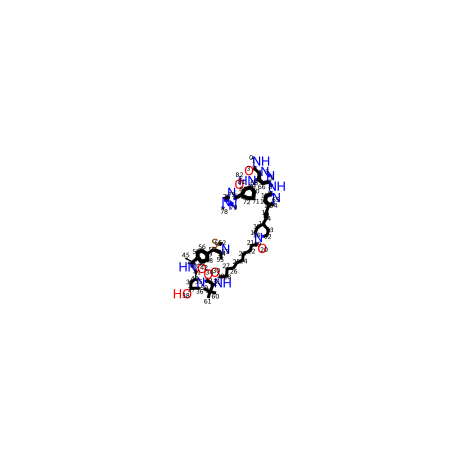 CNC(=O)c1nnc(Nc2ccc(C#CC3CCN(C(=O)CCCCCCCCC(=O)N[C@H](C(=O)N4C[C@H](O)C[C@H]4C(=O)N[C@@H](C)c4ccc(-c5scnc5C)cc4)C(C)(C)C)CC3)cn2)cc1Nc1cccc(-c2ncn(C)n2)c1OC